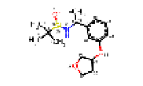 C[C@H](N[S@+]([O-])C(C)(C)C)c1cccc(OC2CCOC2)c1